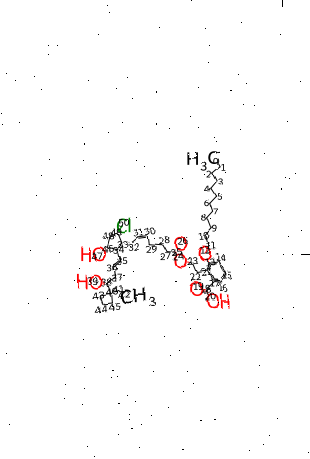 CCCCCCCCCCCCOc1cccc(C(=O)O)c1CCOC(=O)CCC/C=C\C[C@@H]1[C@@H](/C=C/C[C@H](O)C2(CC)CCC2)[C@H](O)C[C@H]1Cl